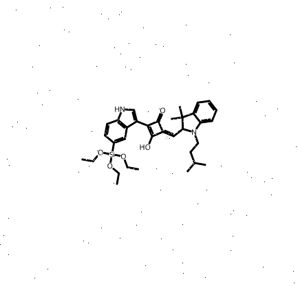 CCO[Si](OCC)(OCC)c1ccc2[nH]cc(C3=C(O)/C(=C/C4N(CCC(C)C)c5ccccc5C4(C)C)C3=O)c2c1